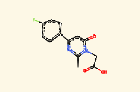 Cc1nc(-c2ccc(F)cc2)cc(=O)n1CC(=O)O